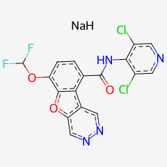 O=C(Nc1c(Cl)cncc1Cl)c1ccc(OC(F)F)c2oc3cnncc3c12.[NaH]